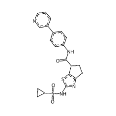 O=C(Nc1ccc(-c2cccnc2)cc1)C1CCc2nc(NS(=O)(=O)C3CC3)sc21